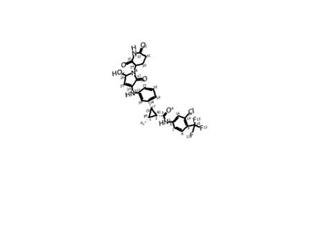 C[C@H]1[C@@H](C(=O)Nc2ccc(C(F)(F)F)c(Cl)c2)[C@H]1c1cccc(NC2=CC(O)N(C3CCC(=O)NC3=O)C2=O)c1